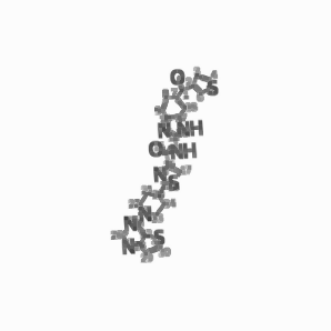 O=C(c1ccsc1)c1ccc2nc(NC(=O)c3csc(C4CCN(c5ncnc6ccsc56)CC4)n3)[nH]c2c1